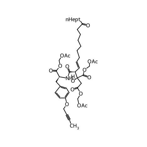 CC#CCOc1ccc(C[C@H](NC(=O)[C@@H](/C=C/CCCCCCC(=O)CCCCCCC)[C@@](O)(CC(=O)OCOC(C)=O)C(=O)OCOC(C)=O)C(=O)OCOC(C)=O)cc1